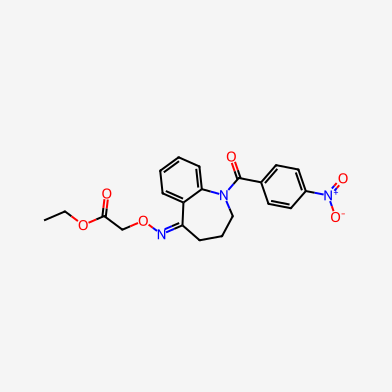 CCOC(=O)CO/N=C1/CCCN(C(=O)c2ccc([N+](=O)[O-])cc2)c2ccccc21